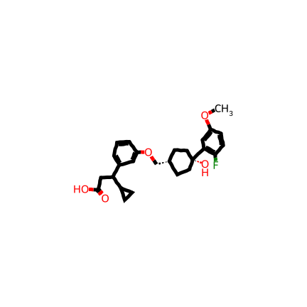 COc1ccc(F)c([C@]2(O)CC[C@@H](COc3cccc(C(CC(=O)O)C4CC4)c3)CC2)c1